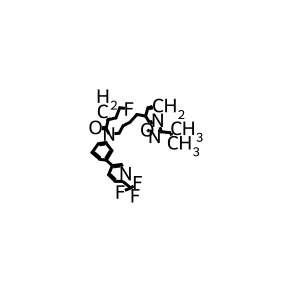 C=CC(CCCCN(C(=O)C(=C)CCF)c1cccc(-c2ccc(C(F)(F)F)nc2)c1)c1nc(C(C)C)no1